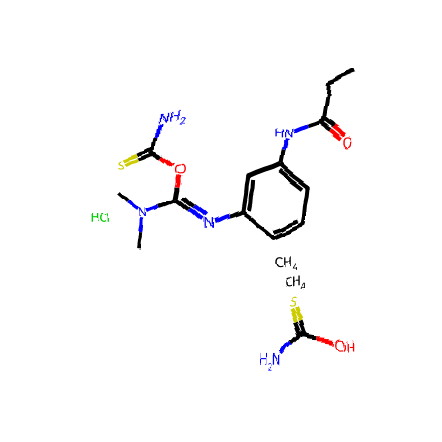 C.C.CCC(=O)Nc1cccc(N=C(OC(N)=S)N(C)C)c1.Cl.NC(O)=S